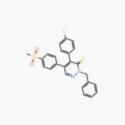 CS(=O)(=O)c1ccc(-c2cnn(Cc3ccccc3)c(=S)c2-c2ccc(F)cc2)cc1